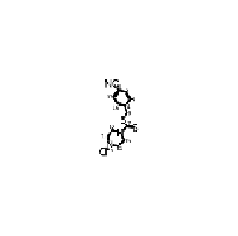 N#Cc1ccc(CSC(=S)N2CCN(Cl)CC2)cc1